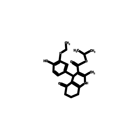 CCOc1cc(C2C(C(=O)OC(C)C)=C(C)NC3=C2C(=O)CCC3)ccc1O